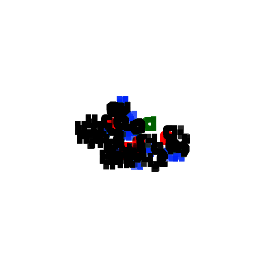 C=C[C@H]1C[N@]2CC[C@H]1C[C@H]2[C@H](O)c1ccnc2ccc(OC)cc12.CCN(CC)CCCC(C)Nc1c2ccc(Cl)cc2nc2ccc(OC)cc12.COc1cc(NC(C)CCCN)c2ncccc2c1.c1ccc2ncccc2c1